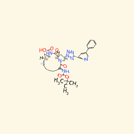 CC(C)(C)OC(=O)N[C@H]1CCCC/C=C\[C@@H]2C[C@@]2(C(=O)O)NC(=O)[C@@H]2C[C@@H](n3nnc(-c4cncc(-c5ccccc5)c4)n3)CN2C1=O